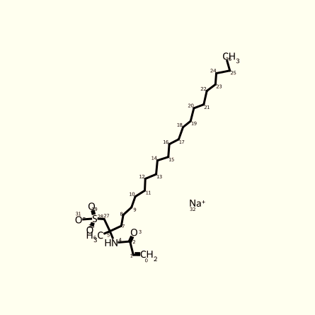 C=CC(=O)NC(C)(CCCCCCCCCCCCCCCCCCCC)CS(=O)(=O)[O-].[Na+]